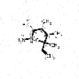 C=CC(C)(C#N)[C@H](C)[C@@H](C)[C@H](NN)C(F)(F)F